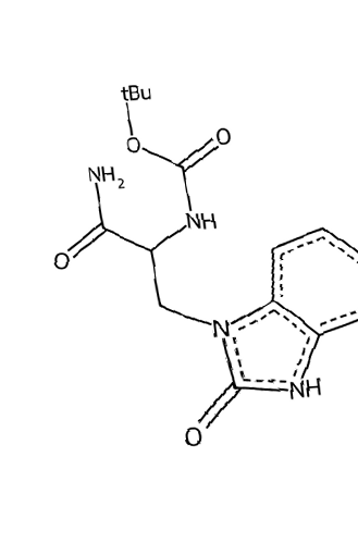 CC(C)(C)OC(=O)NC(Cn1c(=O)[nH]c2ccccc21)C(N)=O